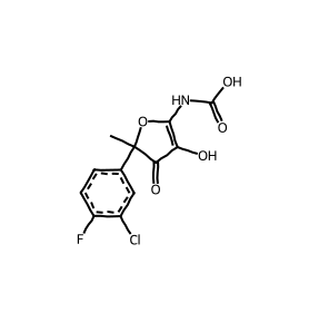 CC1(c2ccc(F)c(Cl)c2)OC(NC(=O)O)=C(O)C1=O